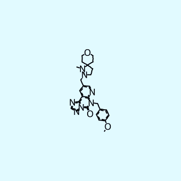 COc1ccc(Cn2c(=O)n3ncnc3c3cc(CN4CCC5(CCOCC5)N4C)cnc32)cc1